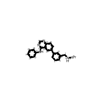 CCCNCc1cccc(-c2ccc3ncnc(Nc4ccccc4)c3c2)c1